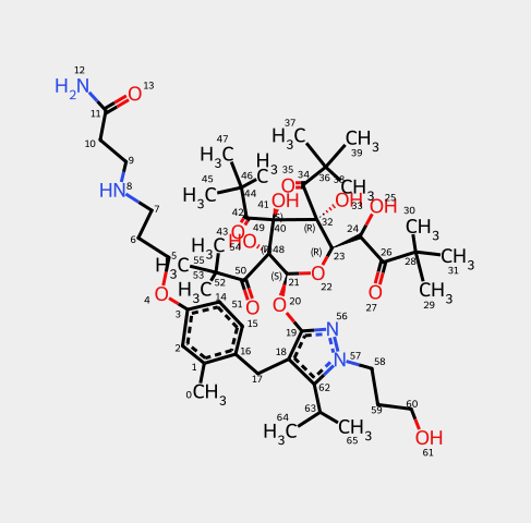 Cc1cc(OCCCNCCC(N)=O)ccc1Cc1c(O[C@@H]2O[C@H](C(O)C(=O)C(C)(C)C)[C@](O)(C(=O)C(C)(C)C)[C@@](O)(C(=O)C(C)(C)C)[C@]2(O)C(=O)C(C)(C)C)nn(CCCO)c1C(C)C